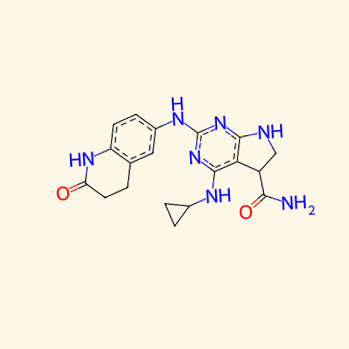 NC(=O)C1CNc2nc(Nc3ccc4c(c3)CCC(=O)N4)nc(NC3CC3)c21